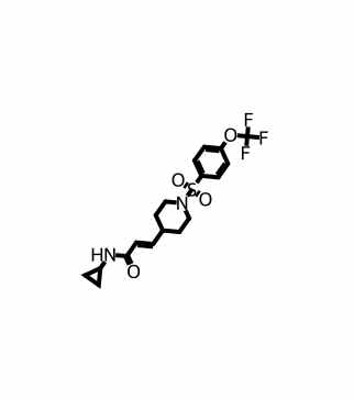 O=C(/C=C/C1CCN(S(=O)(=O)c2ccc(OC(F)(F)F)cc2)CC1)NC1CC1